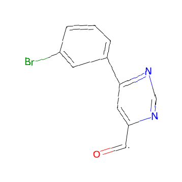 O=[C]c1cc(-c2cccc(Br)c2)ncn1